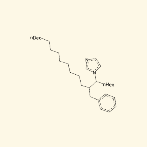 CCCCCCCCCCCCCCCCCCC(Cc1ccccc1)C(CCCCCC)n1ccnc1